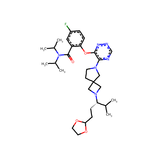 CC(C)[C@H](CCC1OCCO1)N1CC2(CCN(c3ncnnc3Oc3ccc(F)cc3C(=O)N(C(C)C)C(C)C)C2)C1